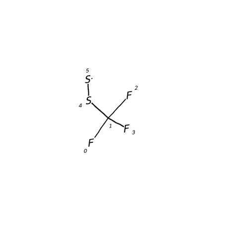 FC(F)(F)S[S]